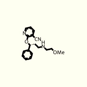 COCCNCC[C@@H](Oc1ncccc1C#N)c1ccccc1